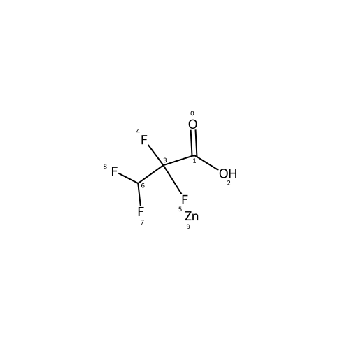 O=C(O)C(F)(F)C(F)F.[Zn]